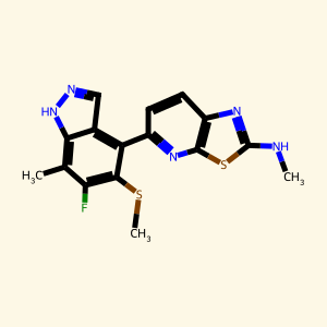 CNc1nc2ccc(-c3c(SC)c(F)c(C)c4[nH]ncc34)nc2s1